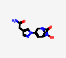 NC(=O)Cc1cnn(C2=CC3CN(C2)C(=O)N3O)c1